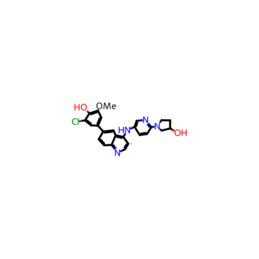 COc1cc(-c2ccc3nc[c]c(Nc4ccc(N5CCC(O)C5)nc4)c3c2)cc(Cl)c1O